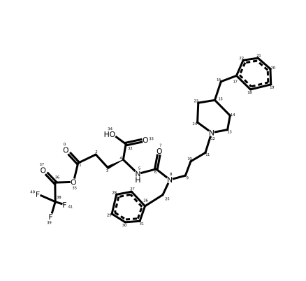 O=C(CC[C@H](NC(=O)N(CCCN1CCC(Cc2ccccc2)CC1)Cc1ccccc1)C(=O)O)OC(=O)C(F)(F)F